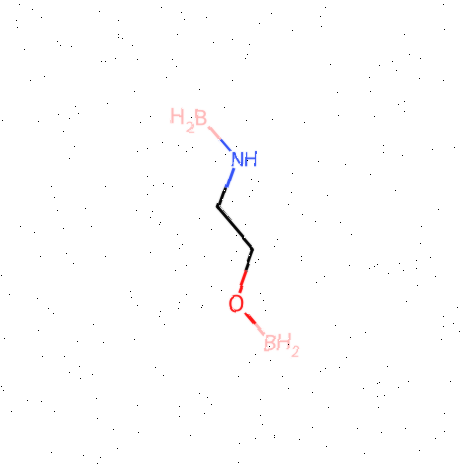 BNCCOB